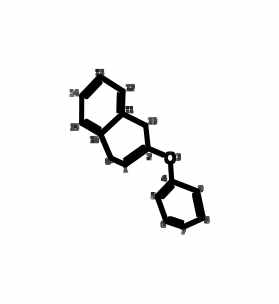 [CH]1C=C(Oc2ccccc2)Cc2ccccc21